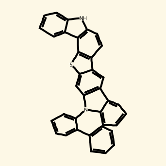 c1ccc(-c2ccccc2-n2c3ccccc3c3cc4c(cc32)sc2c4ccc3[nH]c4ccccc4c32)cc1